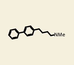 CNCCCCc1ccc(-c2ccccc2)cc1